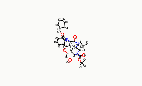 COCCOc1cc(C(=O)N(CC(C)C)[C@@H]2CCCN(C(=O)OC(C)(C)C)C2)nc2c(OCC3CCCCC3)cccc12